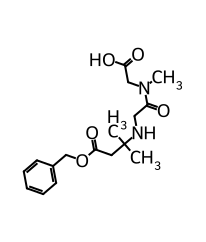 CN(CC(=O)O)C(=O)CNC(C)(C)CC(=O)OCc1ccccc1